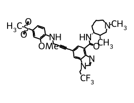 COc1cc(S(C)(=O)=O)ccc1NCC#Cc1cc(C(=O)N[C@@H]2CCCN(C)C[C@H]2C)c2ncn(CC(F)(F)F)c2c1